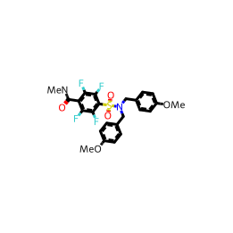 CNC(=O)c1c(F)c(F)c(S(=O)(=O)N(Cc2ccc(OC)cc2)Cc2ccc(OC)cc2)c(F)c1F